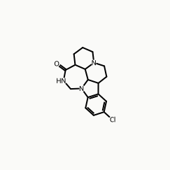 O=C1NCN2c3ccc(Cl)cc3C3CCN4CCCC1C4C32